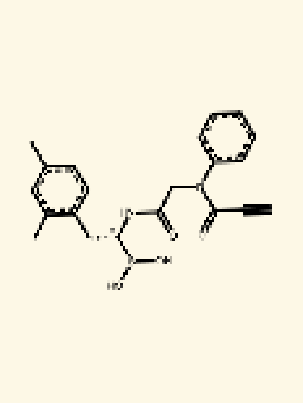 C#CC(=O)N(CC(=O)N[C@@H](Cc1ccc(C)cc1C)B(O)O)c1ccccc1